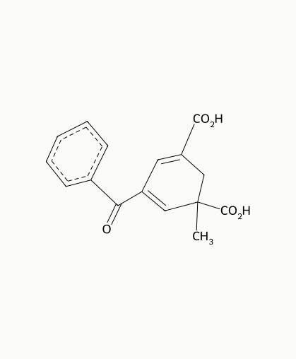 CC1(C(=O)O)C=C(C(=O)c2ccccc2)C=C(C(=O)O)C1